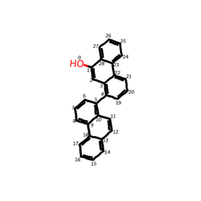 Oc1cc2c(-c3cccc4c3ccc3ccccc34)cccc2c2ccccc12